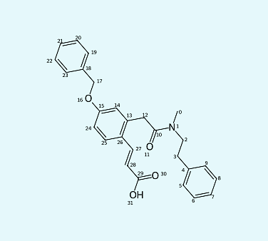 CN(CCc1ccccc1)C(=O)Cc1cc(OCc2ccccc2)ccc1C=CC(=O)O